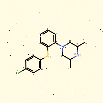 CC1CN(c2ccccc2Sc2ccc(Cl)cc2)CC(C)N1